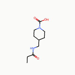 CCC(=O)NCC1CCN(C(=O)O)CC1